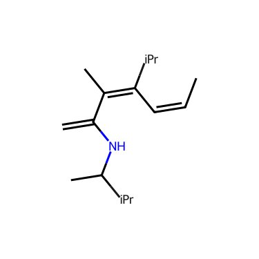 C=C(NC(C)C(C)C)/C(C)=C(\C=C/C)C(C)C